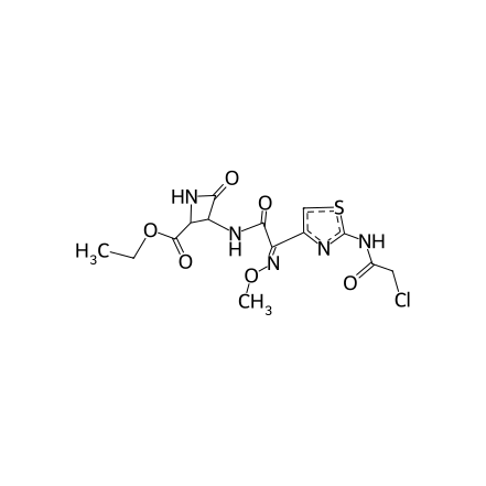 CCOC(=O)C1NC(=O)C1NC(=O)C(=NOC)c1csc(NC(=O)CCl)n1